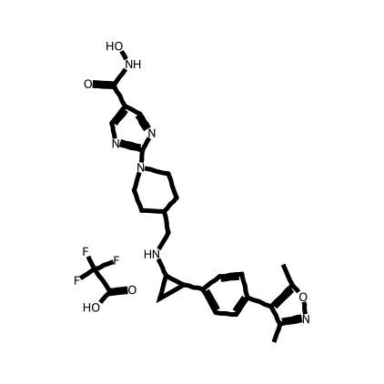 Cc1noc(C)c1-c1ccc(C2CC2NCC2CCN(c3ncc(C(=O)NO)cn3)CC2)cc1.O=C(O)C(F)(F)F